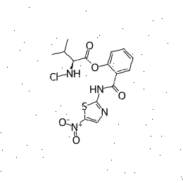 CC(C)[C@H](NCl)C(=O)Oc1ccccc1C(=O)Nc1ncc([N+](=O)[O-])s1